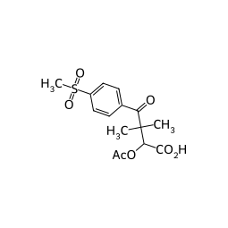 CC(=O)OC(C(=O)O)C(C)(C)C(=O)c1ccc(S(C)(=O)=O)cc1